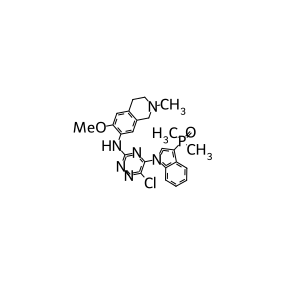 COc1cc2c(cc1Nc1nnc(Cl)c(-n3cc(P(C)(C)=O)c4ccccc43)n1)CN(C)CC2